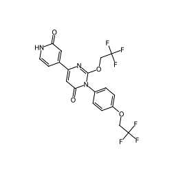 O=c1cc(-c2cc(=O)n(-c3ccc(OCC(F)(F)F)cc3)c(OCC(F)(F)F)n2)cc[nH]1